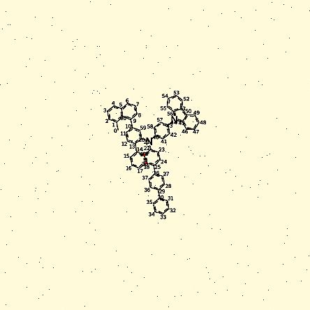 Cc1cccc2cccc(-c3ccc(-c4ccccc4)c(N(c4ccc(-c5ccc(-c6ccccc6)cc5)cc4)c4ccc(-n5c6ccccc6c6ccccc65)cc4)c3)c12